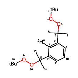 [2H]c1c(C(C)(C)OOC(C)(C)C)cccc1C(C)(C)OOC(C)(C)C